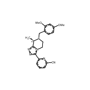 COc1ccc(CN2CCn3c(-c4cccc(C#N)n4)nnc3[C@H]2C)c(OC)c1